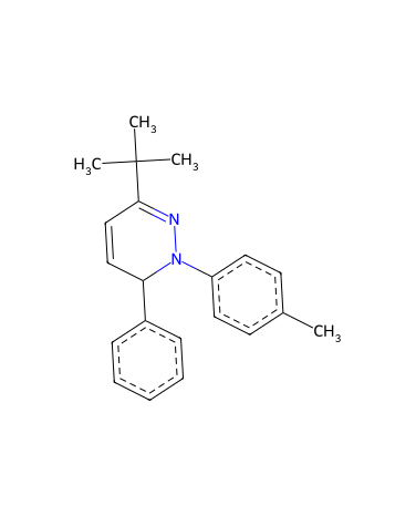 Cc1ccc(N2N=C(C(C)(C)C)C=CC2c2ccccc2)cc1